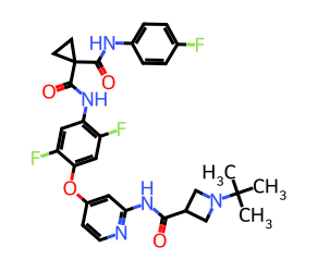 CC(C)(C)N1CC(C(=O)Nc2cc(Oc3cc(F)c(NC(=O)C4(C(=O)Nc5ccc(F)cc5)CC4)cc3F)ccn2)C1